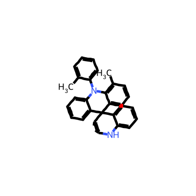 Cc1ccccc1N1c2ccccc2C2(c3ccccc3Nc3ccccc32)c2cccc(C)c21